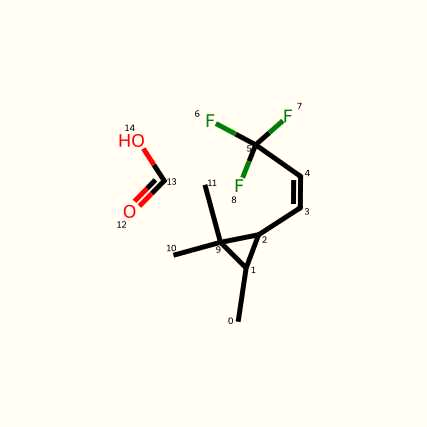 CC1C(/C=C\C(F)(F)F)C1(C)C.O=CO